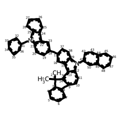 CC1(C)c2ccccc2-c2ccc3c(c21)c1cc(-c2ccc4c(c2)c2ccccc2n4-c2ccccc2)ccc1n3-c1ccc2ccccc2c1